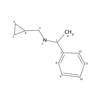 CC([N]CC1CC1)c1ccccc1